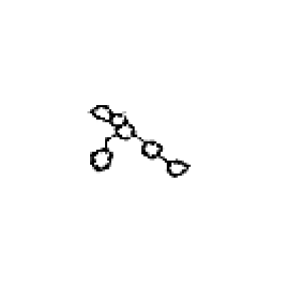 c1ccc(Cc2cc(-c3ccc(-c4ccccc4)cc3)cc3oc4ccccc4c23)cc1